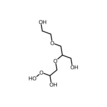 OCCOCC(CO)OCC(O)OO